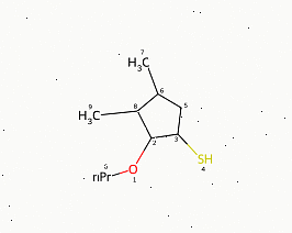 CCCOC1C(S)CC(C)C1C